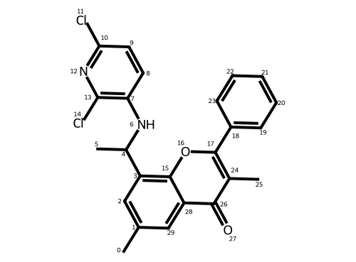 Cc1cc(C(C)Nc2ccc(Cl)nc2Cl)c2oc(-c3ccccc3)c(C)c(=O)c2c1